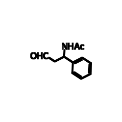 CC(=O)NC(CC=O)c1ccccc1